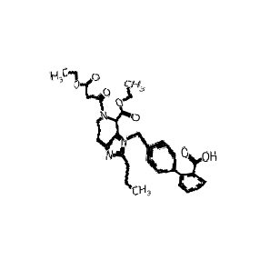 CCCc1nc2c(n1Cc1ccc(-c3ccccc3C(=O)O)cc1)C(C(=O)OCC)N(C(=O)CC(=O)OCC)CC2